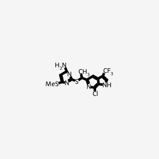 CSc1cc(N)nc(SC(C)c2cc3c(C(F)(F)F)c[nH]c3c(Cl)n2)n1